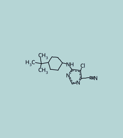 CC(C)(C)C1CCC(Nc2ncnc(C#N)c2Cl)CC1